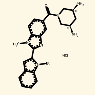 CCn1c(-c2nc3cc(C(=O)N4C[C@H](N)C[C@H](N)C4)ccc3n2C)cc2ccccc21.Cl